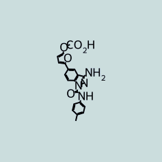 Cc1ccc(NC(=O)n2nc(N)c3cc(-c4ccc(OC(=O)O)o4)ccc32)cc1